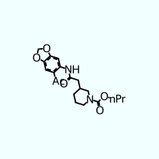 CCCOC(=O)N1CCCC(CC(=O)Nc2cc3c(cc2C(C)=O)OCO3)C1